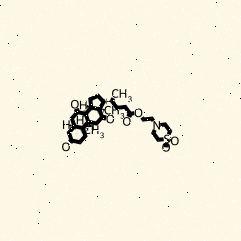 CC(CCC(=O)OCCN1CCS(=O)(=O)CC1)[C@H]1CC[C@H]2[C@@H]3C(=O)C[C@@H]4CC(=O)CC[C@]4(C)[C@H]3CC(=O)[C@]12C